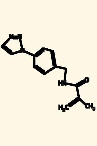 C=C(C)C(=O)NCc1ccc(-n2ccnn2)cc1